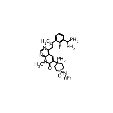 CCCN=S1(=O)CCC(P)(c2cc3c(C[C@H](C)c4cccc(C(P)P)c4F)ncnc3n(C)c2=O)CC1